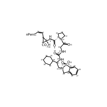 CCCCC/C=C\C1C[C@]1(NC(=O)[C@@H]1CCCN1C(=O)CNC(=O)NC(CN1Cc2ccccc2S1(=O)=O)C1CCCCC1)C(=O)O